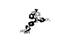 N#CC1(NC(=O)[C@@H]2CCCC[C@H]2c2nc(-c3ccc(C(F)(F)F)cn3)sc2-c2ccc(N3CCS(O)(O)CC3)cc2)CC1